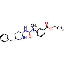 CCOC(=O)c1cccc(N(C)C(=O)N[C@@H]2CC[C@@H](Cc3ccccc3)CN2)c1